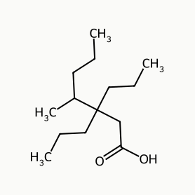 CCCC(C)C(CCC)(CCC)CC(=O)O